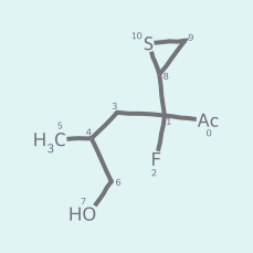 CC(=O)C(F)(CC(C)CO)C1CS1